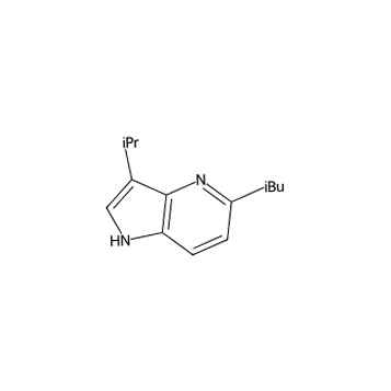 CCC(C)c1ccc2[nH]cc(C(C)C)c2n1